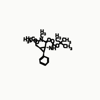 COC[C@@H]1[C@H](c2ccccc2)[C@]1(NC(=O)OC(C)(C)C)C(=O)N(C)OC